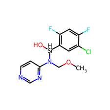 COCN(c1ccncn1)[SiH](O)c1cc(Cl)c(F)cc1F